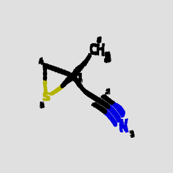 CC1(C#N)CS1